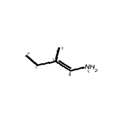 CC/C(C)=C/N